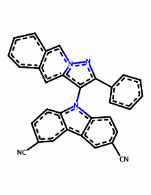 N#Cc1ccc2c(c1)c1cc(C#N)ccc1n2-c1c(-c2ccccc2)nn2cc3ccccc3cc12